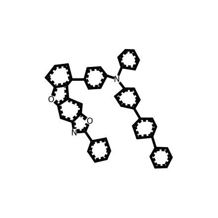 c1ccc(-c2ccc(-c3ccc(N(c4ccccc4)c4ccc(-c5cccc6oc7cc8nc(-c9ccccc9)oc8cc7c56)cc4)cc3)cc2)cc1